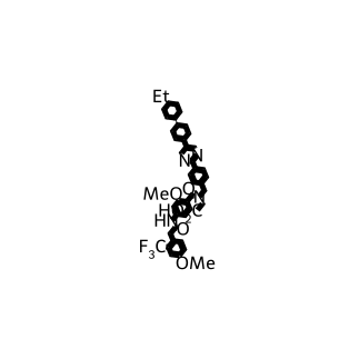 CC[C@H]1CC[C@H](C2CC=C(c3cnc(-c4ccc(CN(CC(=O)O)C(=O)c5ccc(NC(=O)Cc6ccc(OC)cc6C(F)(F)F)cc5OC)cc4)nc3)CC2)CC1